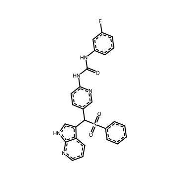 O=C(Nc1cccc(F)c1)Nc1ccc(C(c2c[nH]c3ncccc23)S(=O)(=O)c2ccccc2)cn1